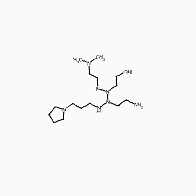 CN(C)CC[N]N(CCO)N(CCN)NCCCN1CCCC1